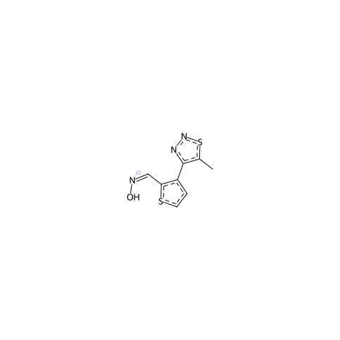 Cc1snnc1-c1ccsc1/C=N\O